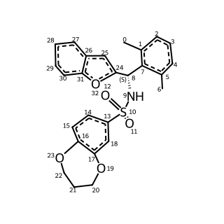 Cc1cccc(C)c1[C@H](NS(=O)(=O)c1ccc2c(c1)OCCCO2)c1cc2ccccc2o1